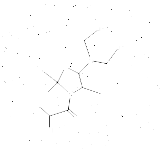 CC(C)CN(CC(C)C)C1OC(C)(C)N(C(=O)C(Cl)Cl)C1C